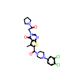 Cc1c(C(=O)N2CCN(c3ccc(Cl)c(Cl)c3)CC2)sc2ncn(CC(=O)N3CCCC3)c(=O)c12